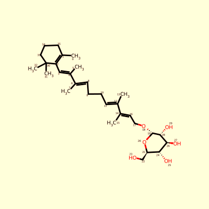 CC1=C(/C=C(C)/C(C)=C/CC/C=C(C)/C(C)=C/CO[C@H]2O[C@H](CO)[C@@H](O)[C@H](O)[C@H]2O)C(C)(C)CCC1